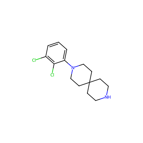 Clc1cccc(N2CCC3(CCNCC3)CC2)c1Cl